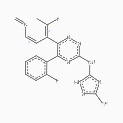 C=N/C=C\C(=C(/C)F)c1nnc(Nc2nc(C(C)C)n[nH]2)nc1-c1ccccc1F